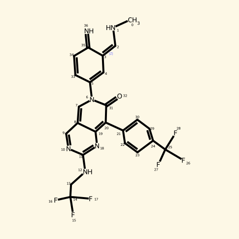 CN/C=C1/C=C(n2cc3cnc(NCC(F)(F)F)nc3c(-c3ccc(C(F)(F)F)cc3)c2=O)C=CC1=N